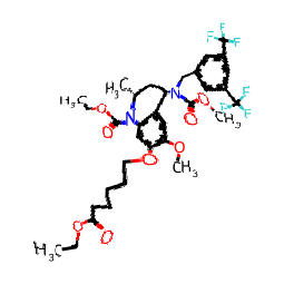 CCOC(=O)CCCCCOc1cc2c(cc1OC)[C@@H](N(Cc1cc(C(F)(F)F)cc(C(F)(F)F)c1)C(=O)OC)C[C@@H](C)N2C(=O)OCC